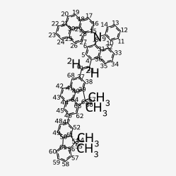 [2H]/C(=C(/[2H])c1ccc(N(c2ccccc2)c2ccc3ccc4cccc5ccc2c3c45)c2ccccc12)c1cc2c3c(ccc4cc(-c5ccc6c(c5)C(C)(C)c5ccccc5-6)cc(c43)C2(C)C)c1